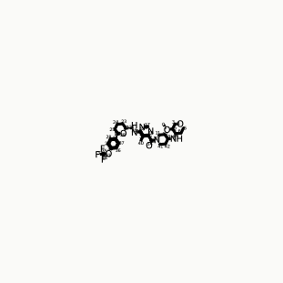 COC1COCC[C@@H]1NC1CCN(C(=O)c2ncnc(NC[C@@H]3CCC[C@H](c4ccc(OC(F)(F)F)cc4)O3)c2C)CC1